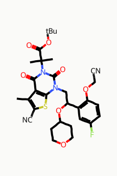 Cc1c(C#N)sc2c1c(=O)n(C(C)(C)C(=O)OC(C)(C)C)c(=O)n2CC(OC1CCOCC1)c1cc(F)ccc1OCC#N